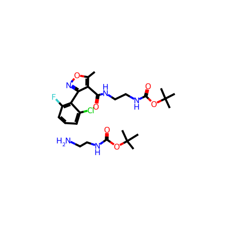 CC(C)(C)OC(=O)NCCN.Cc1onc(-c2c(F)cccc2Cl)c1C(=O)NCCNC(=O)OC(C)(C)C